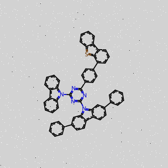 c1ccc(-c2ccc3c4ccc(-c5ccccc5)cc4n(-c4nc(-c5ccc(-c6cccc7c6sc6ccccc67)cc5)nc(-n5c6ccccc6c6ccccc65)n4)c3c2)cc1